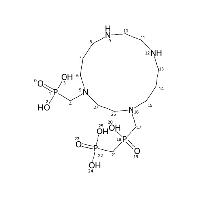 O=P(O)(O)CN1CCCNCCNCCCN(CP(=O)(O)CP(=O)(O)O)CC1